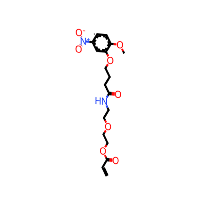 C=CC(=O)OCCOCCNC(=O)CCCOc1cc([N+](=O)[O-])[c]cc1OC